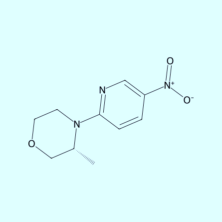 C[C@@H]1COCCN1c1ccc([N+](=O)[O-])cn1